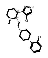 CN1CCC[C@H](c2n[nH]cc2Cl)[C@@H]1CO[C@H]1CC[C@@H](c2ccccc2Cl)CC1